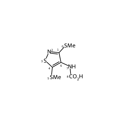 CSc1nsc(SC)c1NC(=O)O